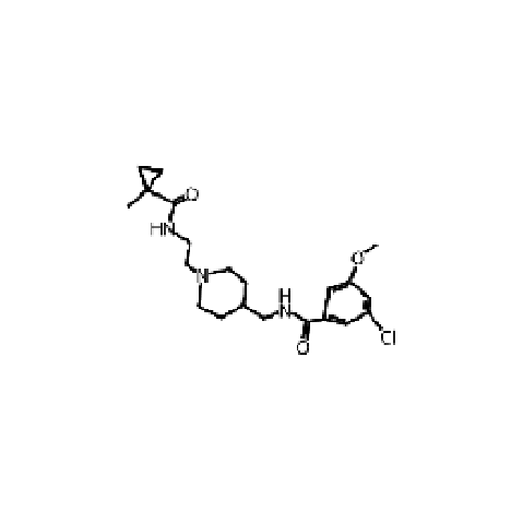 COc1cc(Cl)cc(C(=O)NCC2CCN(CCNC(=O)C3(C)CC3)CC2)c1